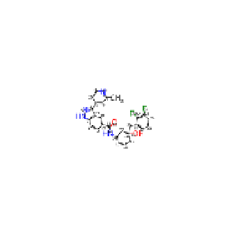 Cc1cc(-c2n[nH]c3ccc(C(=O)NC4CCCC(O)(Cc5cccc(F)c5F)C4)cc23)ccn1